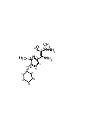 Cc1nc(/C(N)=C(\C=O)N(C)N)ccc1OC1CCCCC1